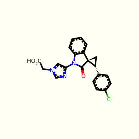 O=C(O)Cn1cnc(N2C(=O)[C@]3(C[C@@H]3c3ccc(Cl)cc3)c3ccccc32)c1